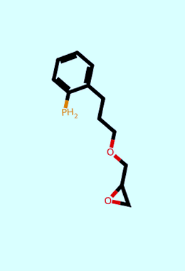 Pc1ccccc1CCCOCC1CO1